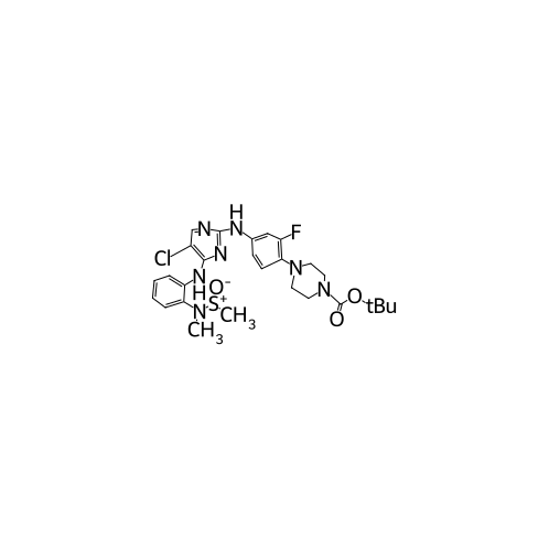 CN(c1ccccc1Nc1nc(Nc2ccc(N3CCN(C(=O)OC(C)(C)C)CC3)c(F)c2)ncc1Cl)[S+](C)[O-]